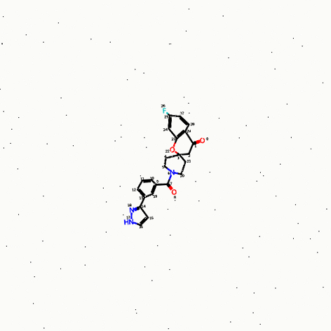 O=C1CC2(CCN(C(=O)c3cccc(-c4cc[nH]n4)c3)CC2)Oc2cc(F)ccc21